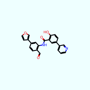 O=Cc1ccc(-c2ccoc2)cc1NC(=O)c1cc(-c2cccnc2)ccc1O